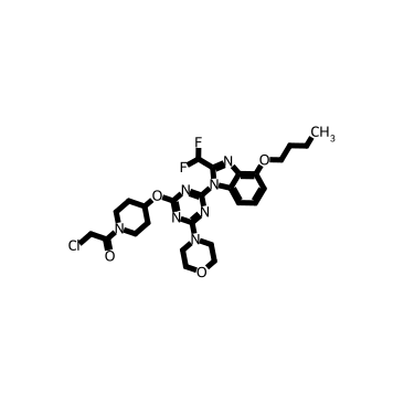 CCCCOc1cccc2c1nc(C(F)F)n2-c1nc(OC2CCN(C(=O)CCl)CC2)nc(N2CCOCC2)n1